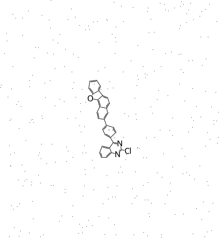 Clc1nc(-c2ccc(-c3ccc4c(ccc5c6ccccc6oc45)c3)cc2)c2ccccc2n1